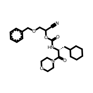 N#CC(COCc1ccccc1)OC(=O)N[C@H](CC1CCCCC1)C(=O)N1CCOCC1